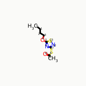 CCCCOc1nc(SC(C)=O)ns1